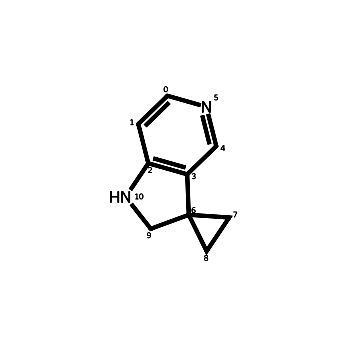 c1cc2c(cn1)C1(CC1)CN2